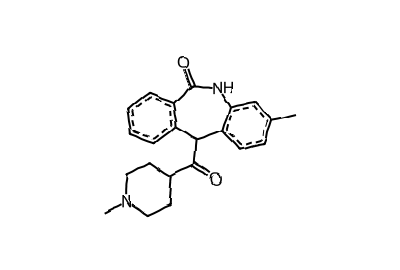 Cc1ccc2c(c1)NC(=O)c1ccccc1C2C(=O)C1CCN(C)CC1